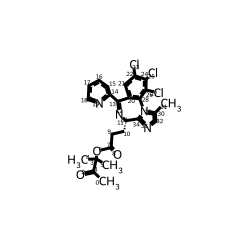 CC(=O)C(C)(C)OC(=O)CC[C@@H]1N=C(c2ccccn2)c2cc(Cl)c(Cl)c(Cl)c2-n2c(C)cnc21